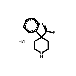 CCC(=O)C1(c2ccccc2)CCNCC1.Cl